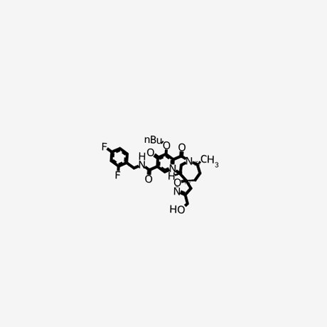 CCCCOc1c2n(cc(C(=O)NCc3ccc(F)cc3F)c1=O)[C@@H]1CN(C2=O)[C@@H](C)CC[C@]12CC(CO)=NO2